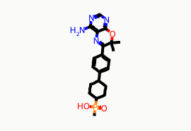 CC1(C)Oc2ncnc(N)c2N=C1c1ccc(C2CCC(P(C)(=O)O)CC2)cc1